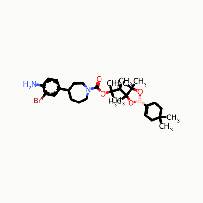 CC(C(C)(C)OC(=O)N1CCCC(c2ccc(N)c(Br)c2)CC1)C1(C)OB(C2=CCC(C)(C)CC2)OC1(C)C